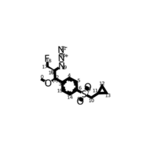 CO[C@H](c1ccc(S(=O)(=O)CC2CC2)cc1)[C@@H](CF)N=[N+]=[N-]